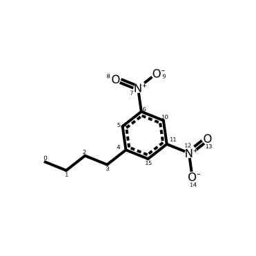 CCCCc1[c]c([N+](=O)[O-])cc([N+](=O)[O-])c1